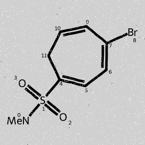 CNS(=O)(=O)C1=CC=C(Br)C=CC1